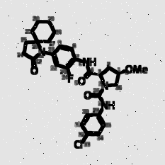 CO[C@@H]1C[C@H](C(=O)Nc2ccc(N3C(=O)CCC34CCCCC4)cc2F)N(C(=O)Nc2ccc(Cl)cc2)C1